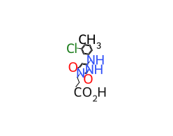 Cc1ccc(Nc2cc(=O)n(CCCC(=O)O)c(=O)[nH]2)cc1Cl